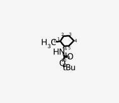 CC1CCCC[C@H]1NC(=O)OC(C)(C)C